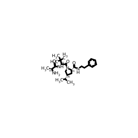 CC(C)[C@H]1C[C@@H](C(=O)NCCc2ccccc2)N(C(=O)[C@@H](NC(=O)[C@H](C)N)C(C)(C)C)C1